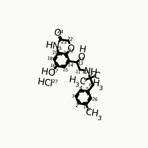 Cc1cccc(CC(C)(C)NCC(O)c2cc(O)cc3c2OCC(=O)N3)c1.Cl